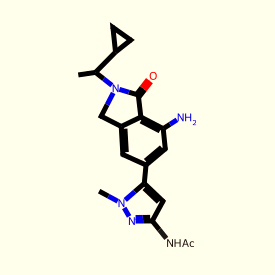 CC(=O)Nc1cc(-c2cc(N)c3c(c2)CN(C(C)C2CC2)C3=O)n(C)n1